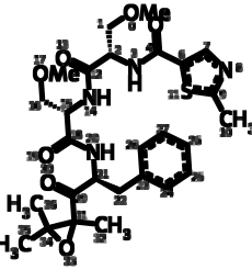 COC[C@H](NC(=O)c1cnc(C)s1)C(=O)N[C@@H](COC)C(=O)N[C@@H](Cc1ccccc1)C(=O)C1(C)OC1(C)C